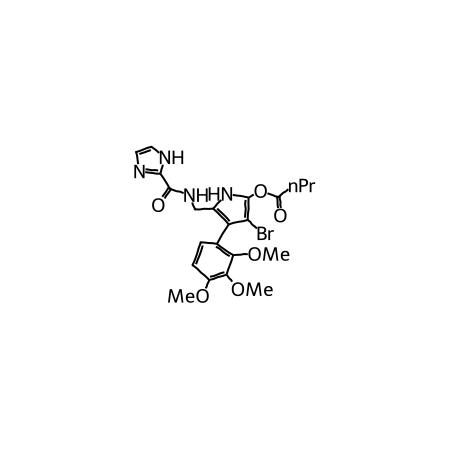 CCCC(=O)Oc1[nH]c(CNC(=O)c2ncc[nH]2)c(-c2ccc(OC)c(OC)c2OC)c1Br